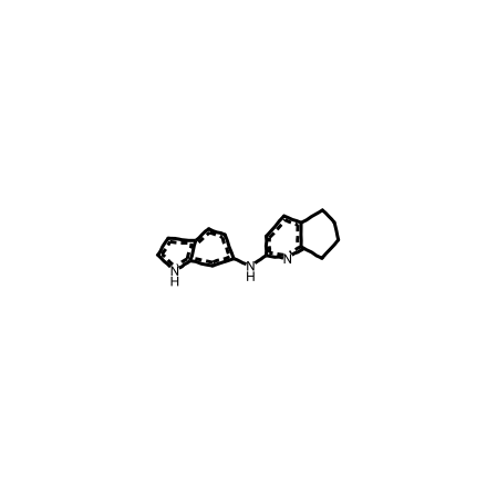 c1cc2ccc(Nc3ccc4c(n3)CCCC4)cc2[nH]1